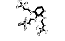 CC[N+](CC)(CC)CCOc1cccc(OCC[N+](CC)(CC)C(C)C)c1OCC[N+](CC)(CC)CC